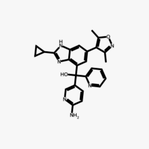 Cc1noc(C)c1-c1cc(C(O)(c2ccc(N)nc2)c2ccccn2)c2nc(C3CC3)[nH]c2c1